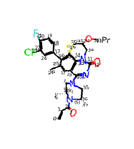 C=CC(=O)N1[C@H](C)CN(c2nc(=O)n3c4c(c(-c5ccc(F)c(Cl)c5)c(C)cc24)SCC(OCCC)C3)C[C@@H]1C